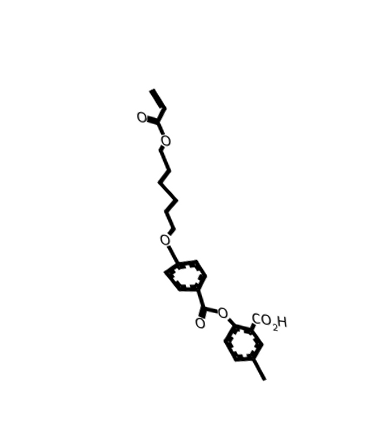 C=CC(=O)OCCCCCCOc1ccc(C(=O)Oc2ccc(C)cc2C(=O)O)cc1